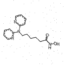 O=C(CCCCCN(c1ccccn1)c1ccccn1)NO